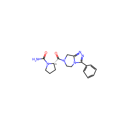 NC(=O)N1CCC[C@H]1C(=O)N1CCn2c(nnc2-c2ccccc2)C1